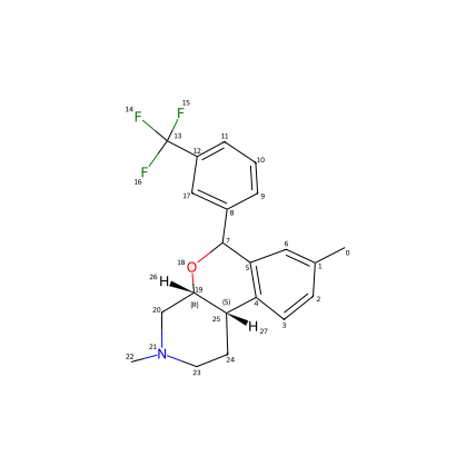 Cc1ccc2c(c1)C(c1cccc(C(F)(F)F)c1)O[C@H]1CN(C)CC[C@@H]21